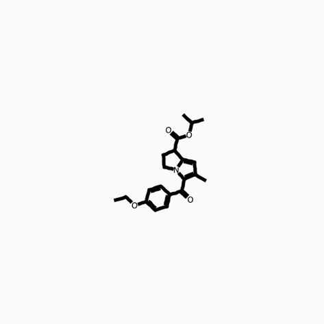 CCOc1ccc(C(=O)c2c(C)cc3n2CCC3C(=O)OC(C)C)cc1